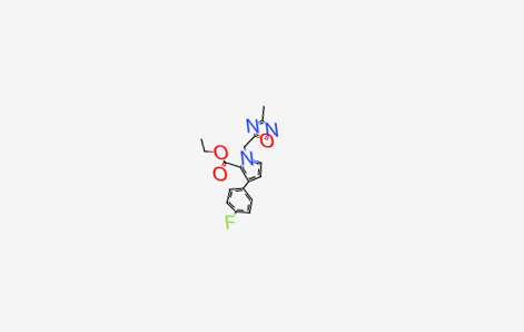 CCOC(=O)c1c(-c2ccc(F)cc2)ccn1Cc1nc(C)no1